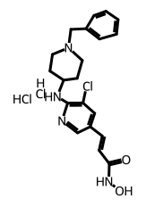 Cl.Cl.O=C(C=Cc1cnc(NC2CCN(Cc3ccccc3)CC2)c(Cl)c1)NO